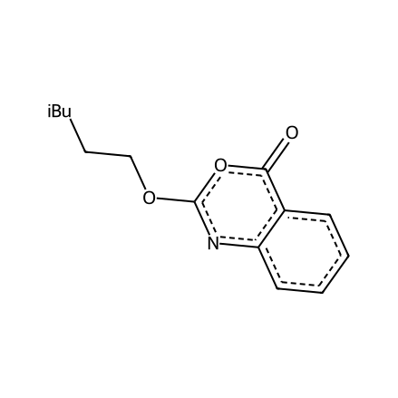 CCC(C)CCOc1nc2ccccc2c(=O)o1